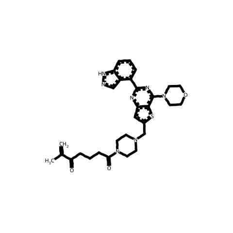 C=C(C)C(=O)CCCC(=O)N1CCN(Cc2cc3nc(-c4cccc5[nH]ncc45)nc(N4CCOCC4)c3s2)CC1